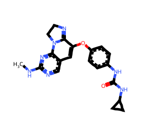 CNc1ncc2c(n1)N1CCN=C1C(Oc1ccc(NC(=O)NC3CC3)cc1)=C2